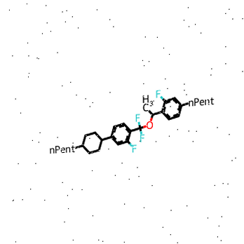 CCCCCc1ccc(C(C)OC(F)(F)c2ccc(C3CCC(CCCCC)CC3)cc2F)c(F)c1